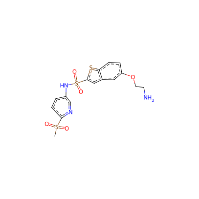 CS(=O)(=O)c1ccc(NS(=O)(=O)c2cc3cc(OCCN)ccc3s2)cn1